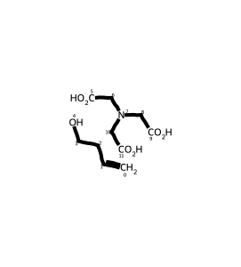 C=CCCO.O=C(O)CN(CC(=O)O)CC(=O)O